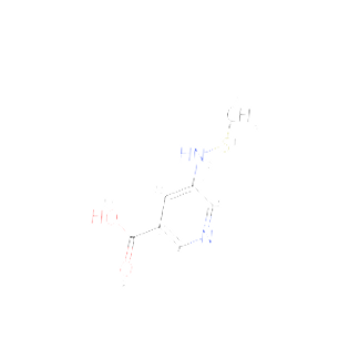 CSNc1cncc(C(=O)O)c1